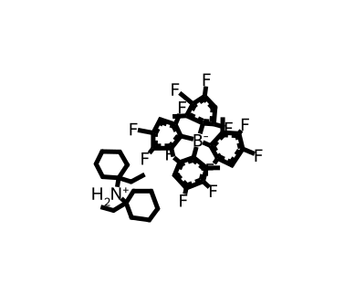 CCC1([NH2+]C2(CC)CCCCC2)CCCCC1.Cc1c(F)c(F)cc(F)c1[B-](c1c(F)cc(F)c(F)c1C)(c1c(F)cc(F)c(F)c1C)c1c(F)cc(F)c(F)c1C